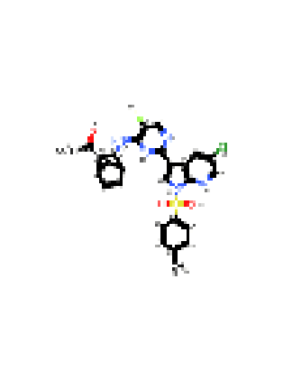 COC(=O)[C@H]1C2C=CC(C2)[C@@H]1Nc1nc(-c2cn(S(=O)(=O)c3ccc(C)cc3)c3ncc(Cl)cc23)ncc1F